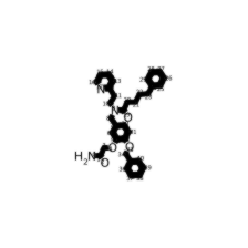 NC(=O)COc1cc(CN(CCc2ccccn2)C(=O)CCCCc2ccccc2)ccc1OCc1ccccc1